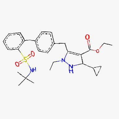 CCOC(=O)C1=C(Cc2ccc(-c3ccccc3S(=O)(=O)NC(C)(C)C)cc2)N(CC)NC1C1CC1